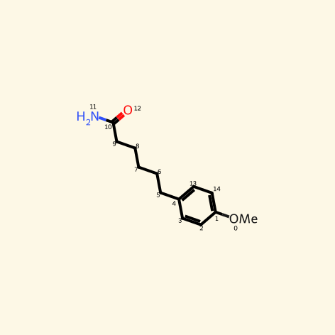 COc1ccc(CCCCCC(N)=O)cc1